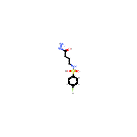 NNC(=O)CCCNS(=O)(=O)c1ccc(F)cc1